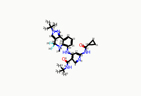 [2H]C([2H])([2H])NC(=O)c1cnc(NC(=O)C2CC2)cc1Nc1cccc2c1N(C)C(F)(F)c1cn(C([2H])([2H])[2H])nc1-2